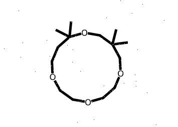 CC1(C)COCCOCCOCCC(C)(C)OC1